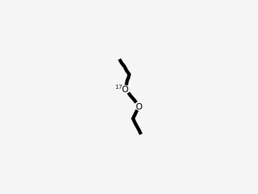 CCO[17O]CC